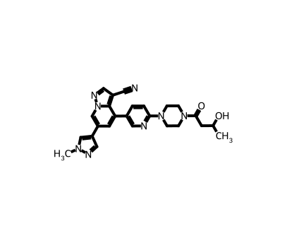 CC(O)CC(=O)N1CCN(c2ccc(-c3cc(-c4cnn(C)c4)cn4ncc(C#N)c34)cn2)CC1